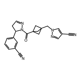 N#Cc1cccc(C2CC=NN2C(=O)C23CC(Cn4cc(C#N)cn4)(C2)C3)c1